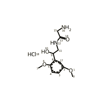 COc1ccc(OC)c(C(O)CNC(=O)CN)c1.Cl